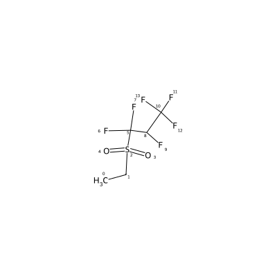 CCS(=O)(=O)C(F)(F)C(F)C(F)(F)F